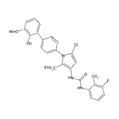 CCOC(=O)c1c(NC(=O)Nc2cccc(F)c2C)cc(Cl)n1-c1ccc(-c2cccc(OC)c2O)cc1